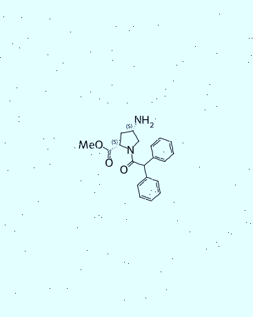 COC(=O)[C@@H]1C[C@H](N)CN1C(=O)C(c1ccccc1)c1ccccc1